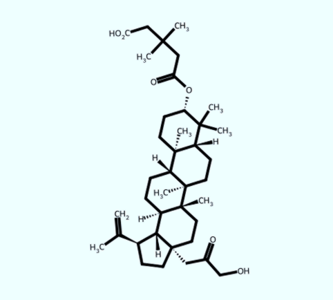 C=C(C)[C@@H]1CC[C@]2(CC(=O)CO)CC[C@]3(C)[C@H](CC[C@@H]4[C@@]5(C)CC[C@H](OC(=O)CC(C)(C)CC(=O)O)C(C)(C)[C@@H]5CC[C@]43C)[C@@H]12